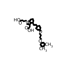 Cc1cc(C)cc(OCCCCOc2ccc(C=Cc3cccc4c3c(CC(=O)O)cn4CCCC(=O)O)cc2)c1